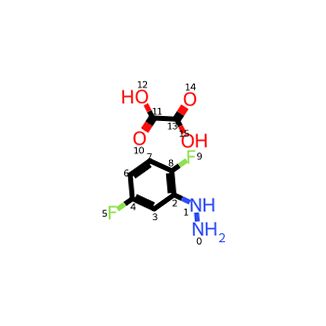 NNc1cc(F)ccc1F.O=C(O)C(=O)O